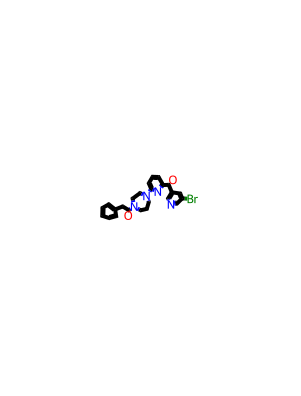 O=C(c1cncc(Br)c1)c1cccc(N2CCCN(C(=O)Cc3ccccc3)CC2)n1